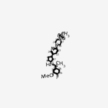 COc1cc([C@@H](C)NC2CCC(c3ccc(N4CCN(S(C)(=O)=O)CC4)nc3)C2)ccc1F